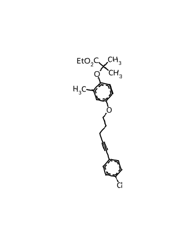 CCOC(=O)C(C)(C)Oc1ccc(OCCCC#Cc2ccc(Cl)cc2)cc1C